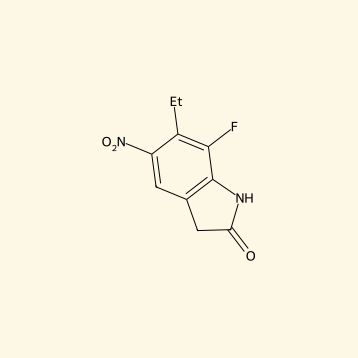 CCc1c([N+](=O)[O-])cc2c(c1F)NC(=O)C2